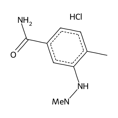 CNNc1cc(C(N)=O)ccc1C.Cl